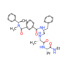 CCNC(=O)[C@@H](NC(=O)[C@H](C)NC[C@H](Cc1ccccc1)NC(=O)c1cccc(C(=O)N(C)[C@H](C)c2ccccc2)c1)C(C)C